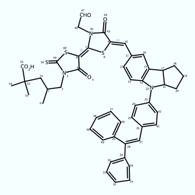 CC(CN1C(=O)/C(=c2\s/c(=C\c3ccc4c(c3)C3CCCC3N4c3ccc(C=C(c4ccccc4)c4ccccc4)cc3)c(=O)n2CC=O)SC1=S)CC(C)(C)C(=O)O